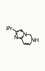 CC(C)c1cn2c(n1)C=CNC2